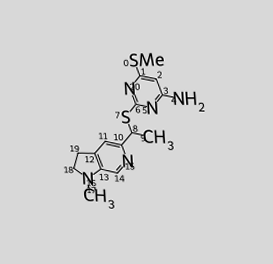 CSc1cc(N)nc(SC(C)c2cc3c(cn2)N(C)CC3)n1